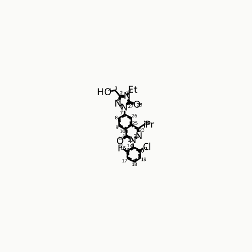 CCn1c(CO)nn(-c2ccc3c(=O)n(-c4c(F)cccc4Cl)nc(C(C)C)c3c2)c1=O